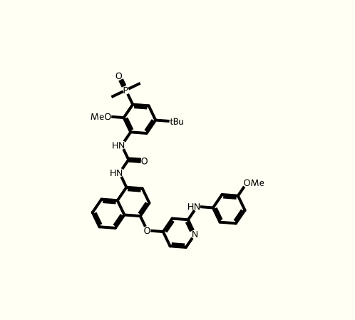 COc1cccc(Nc2cc(Oc3ccc(NC(=O)Nc4cc(C(C)(C)C)cc(P(C)(C)=O)c4OC)c4ccccc34)ccn2)c1